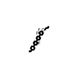 C=CCCOc1ccc(-c2ccc(-c3ccc(C4CCC(C=C)CC4)cc3F)cc2)c(F)c1F